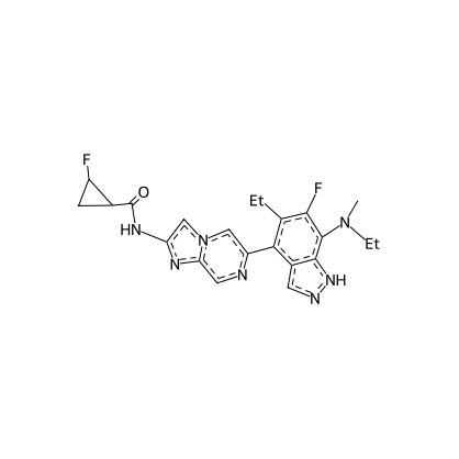 CCc1c(F)c(N(C)CC)c2[nH]ncc2c1-c1cn2cc(NC(=O)C3CC3F)nc2cn1